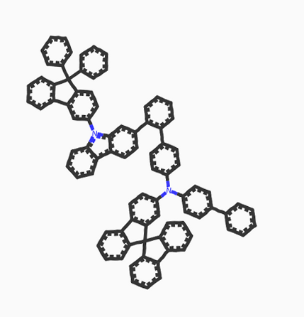 c1ccc(-c2ccc(N(c3ccc(-c4ccccc4-c4ccc5c6ccccc6n(-c6ccc7c(c6)-c6ccccc6C7(c6ccccc6)c6ccccc6)c5c4)cc3)c3ccc4c(c3)C3(c5ccccc5-c5ccccc53)c3ccccc3-4)cc2)cc1